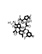 Cc1ccc(-c2ccc(Cl)c3c(N)nn(C4COC4)c23)c([C@H](Cc2cc(F)cc(F)c2)NC(=O)CNC2=C(C(=N)C(F)F)CCC2(F)F)n1